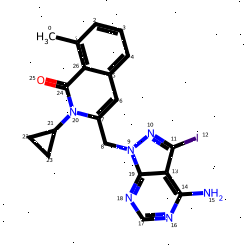 Cc1cccc2cc(Cn3nc(I)c4c(N)ncnc43)n(C3CC3)c(=O)c12